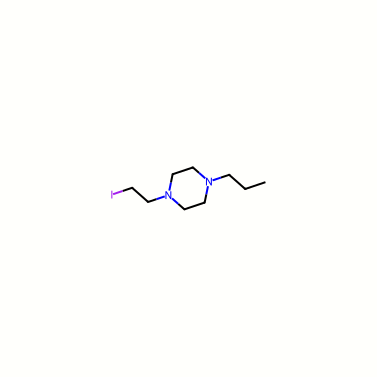 CCCN1CCN(CCI)CC1